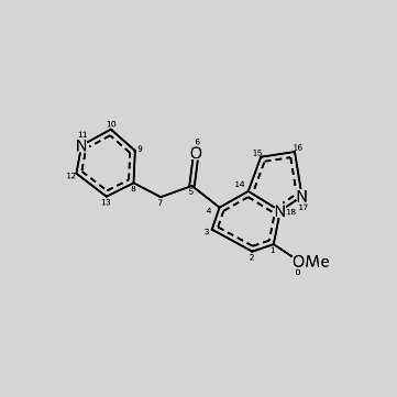 COc1ccc(C(=O)Cc2ccncc2)c2ccnn12